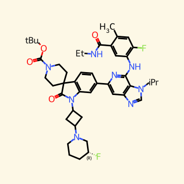 CCNC(=O)c1cc(Nc2nc(-c3ccc4c(c3)N(C3CC(N5CCC[C@@H](F)C5)C3)C(=O)C43CCN(C(=O)OC(C)(C)C)CC3)cc3ncn(C(C)C)c23)c(F)cc1C